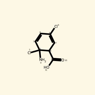 NC1(Cl)C=CC(Cl)=CC1C(=O)O